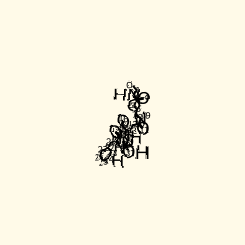 CCNC(=O)OCCN(C)C(=O)CC[C@@H](C=O)NC(=O)[C@H](CC1CCCCC1)NC(=O)O